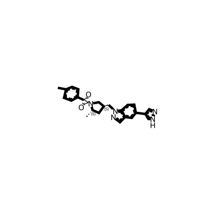 Cc1ccc(S(=O)(=O)N2C[C@H](Cn3ncc4cc(-c5cn[nH]c5)ccc43)C[C@@H]2C)cc1